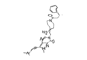 C[C@H](CC(=O)N1CCC(O)(Cn2cnc3c(C#CCN(C)C)n(C)nc3c2=O)CC1)c1ccccc1